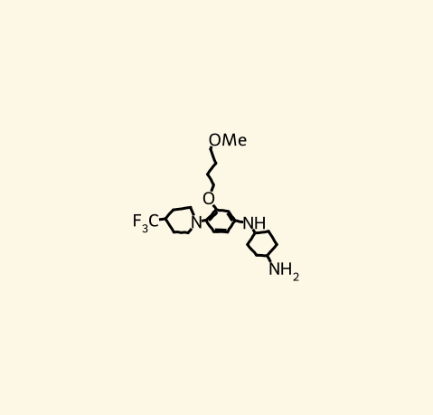 COCCCCOc1cc(NC2CCC(N)CC2)ccc1N1CCC(C(F)(F)F)CC1